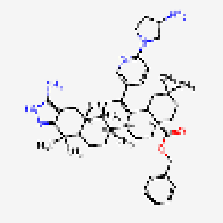 CC1(C)CC[C@]2(C(=O)OCc3ccccc3)CC[C@]3(C)C(=C(c4ccc(N5CCC(N)C5)nc4)CC4[C@@]5(C)Cc6c(n[nH]c6N)C(C)(C)C5CC[C@]43C)C2C1